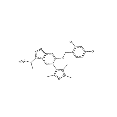 Cc1nn(C)c(C)c1-c1cc2c(C(C)C(=O)O)coc2cc1OCc1ccc(Cl)cc1Cl